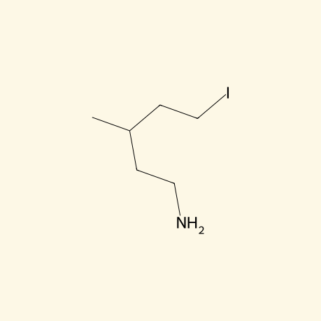 CC(CCN)CCI